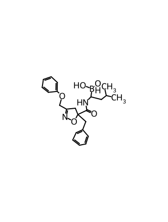 CC(C)CC(NC(=O)C1(Cc2ccccc2)CC(COc2ccccc2)=NO1)B(O)O